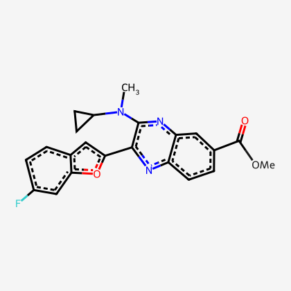 COC(=O)c1ccc2nc(-c3cc4ccc(F)cc4o3)c(N(C)C3CC3)nc2c1